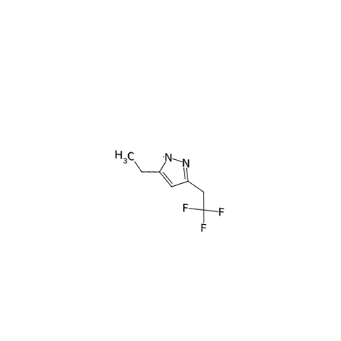 CCC1=CC(CC(F)(F)F)=N[N]1